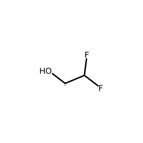 O[CH]C(F)F